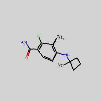 Cc1c(NC2(C#N)CCC2)ccc(C(N)=O)c1F